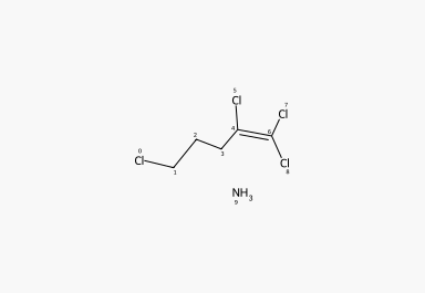 ClCCCC(Cl)=C(Cl)Cl.N